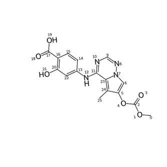 COC(=O)Oc1cn2ncnc(Nc3ccc(C(=O)O)c(O)c3)c2c1C